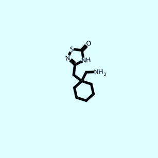 NCC1(Cc2nsc(=O)[nH]2)CCCCC1